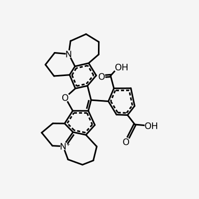 O=C(O)c1ccc(C(=O)O)c(C2=c3cc4c5c(c3Oc3c2cc2c6c3CCCN6CCCC2)CCC[N+]=5CCCC4)c1